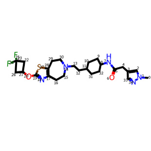 Cn1cc(CC(=O)NC2CCC(CCN3CCc4nc(OC5CC(F)(F)C5)sc4CC3)CC2)cn1